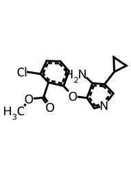 COC(=O)c1c(Cl)cccc1Oc1cncc(C2CC2)c1N